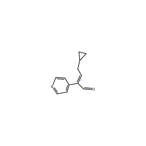 O=C/C(=C/CC1CC1)c1ccncc1